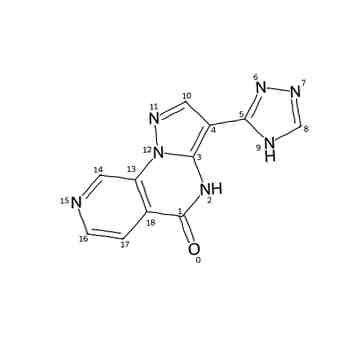 O=c1[nH]c2c(-c3nnc[nH]3)cnn2c2cnccc12